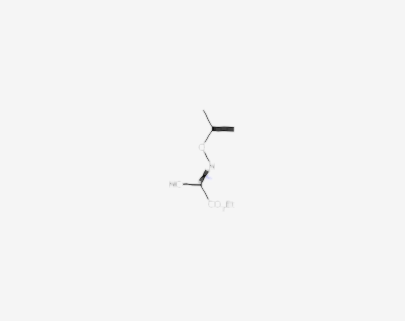 C=C(C)O/N=C(\C#N)C(=O)OCC